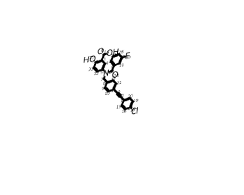 O=C(O)c1cc(N(Cc2ccc(C#Cc3ccc(Cl)cc3)cc2)C(=O)c2cccc(F)c2)ccc1O